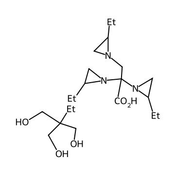 CCC(CO)(CO)CO.CCC1CN1CC(C(=O)O)(N1CC1CC)N1CC1CC